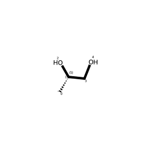 [CH2][C@H](O)CO